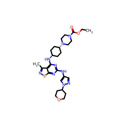 CCOC(=O)N1CCN([C@H]2CC[C@H](Nc3nc(Nc4cnn(C5CCOCC5)c4)nc4snc(C)c34)CC2)CC1